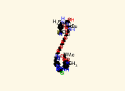 CNC(=O)COc1cc2cc(Nc3nc(N4CCC(Cc5cn(CCOCCOCCOCCOCCOCC(=O)N[C@H](C(=O)N6C[C@H](O)C[C@H]6C(=O)N[C@@H](C)c6ccc(-c7scnc7C)cc6)C(C)(C)C)nn5)CC4)ncc3Cl)ccc2n(C)c1=O